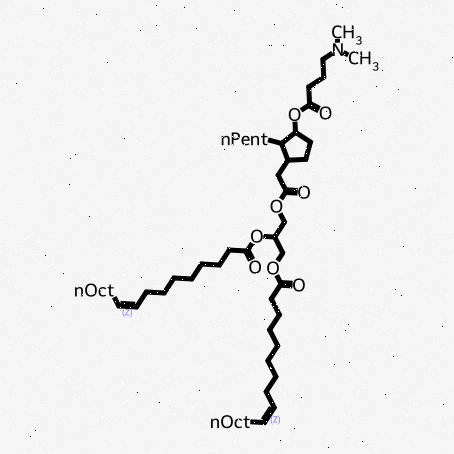 CCCCCCCC/C=C\CCCCCCCC(=O)OCC(COC(=O)CC1CCC(OC(=O)CCCN(C)C)C1CCCCC)OC(=O)CCCCCCC/C=C\CCCCCCCC